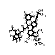 COc1ccc(-c2ccc(C#CC(C)(C)O)nc2C(Cc2cc(F)cc(F)c2)NC(=O)Cn2nc(C(F)F)c3c2C(F)(F)[C@@H]2C[C@H]32)c2c1c(NS(C)(=O)=O)nn2C